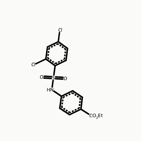 CCOC(=O)c1ccc(NS(=O)(=O)c2ccc(Cl)cc2Cl)cc1